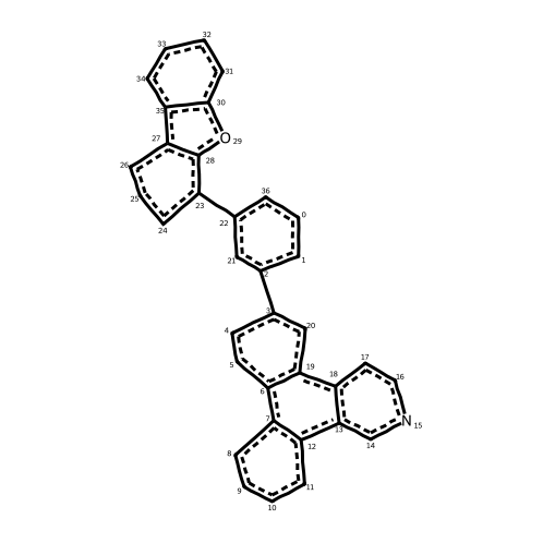 c1cc(-c2ccc3c4ccccc4c4cnccc4c3c2)cc(-c2cccc3c2oc2ccccc23)c1